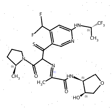 C/C(=N\C(C(=O)N1CCC[C@@H]1C)C(=S)c1cnc(N[C@@H](C)C(F)(F)F)cc1C(F)F)C(=O)N[C@H]1COC[C@H]1O